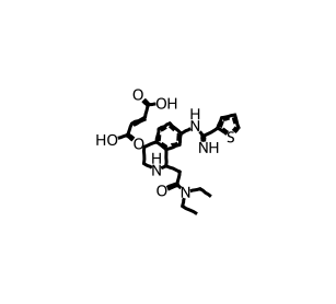 CCN(CC)C(=O)CC1NCCc2ccc(NC(=N)c3cccs3)cc21.O=C(O)/C=C/C(=O)O